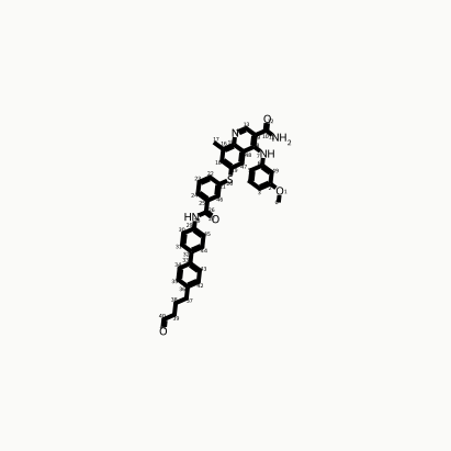 COc1cccc(Nc2c(C(N)=O)cnc3c(C)cc(Sc4cccc(C(=O)Nc5ccc(-c6ccc(CCCC=O)cc6)cc5)c4)cc23)c1